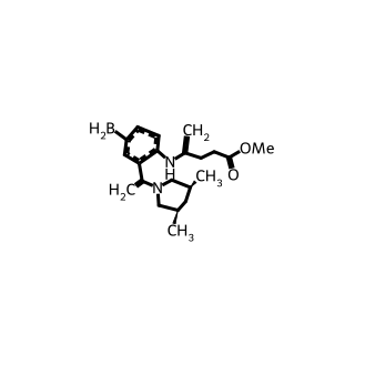 Bc1ccc(NC(=C)CCC(=O)OC)c(C(=C)N2C[C@H](C)C[C@H](C)C2)c1